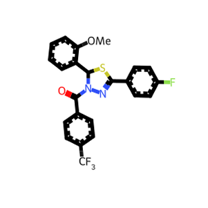 COc1ccccc1C1SC(c2ccc(F)cc2)=NN1C(=O)c1ccc(C(F)(F)F)cc1